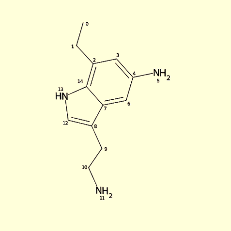 CCc1cc(N)cc2c(CCN)c[nH]c12